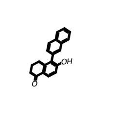 O=C1CCCc2c1ccc(O)c2-c1ccc2ccccc2c1